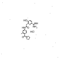 Cc1cc(NC(=O)Cc2cc(C(=N)N)ccc2O)ccc1C(=O)N1CCCC1.Cl